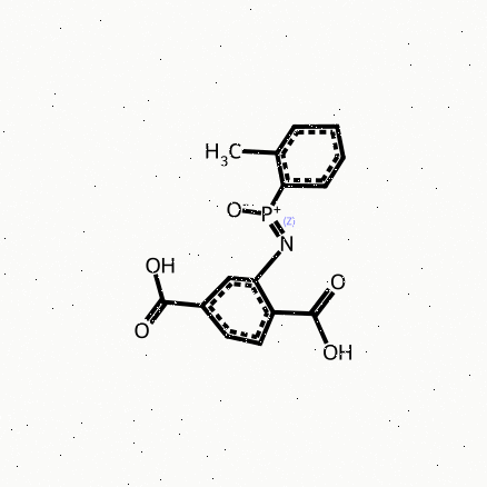 Cc1ccccc1/[P+]([O-])=N/c1cc(C(=O)O)ccc1C(=O)O